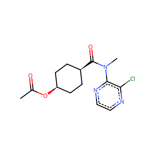 CC(=O)O[C@H]1CC[C@@H](C(=O)N(C)c2nccnc2Cl)CC1